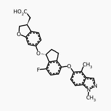 Cc1c(Oc2ccc(F)c3c2CC[C@H]3Oc2ccc3c(c2)OC[C@H]3CC(=O)O)ccc2c1cnn2C